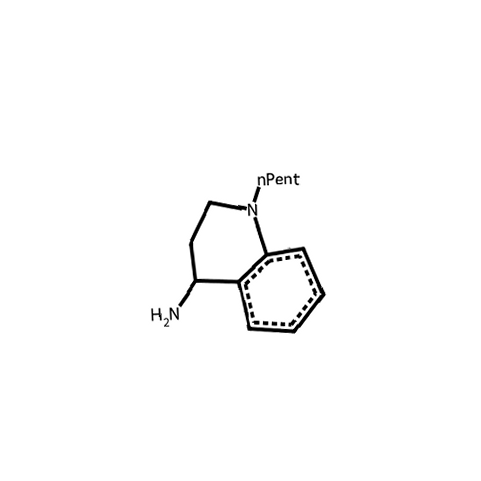 CCCCCN1CCC(N)c2ccccc21